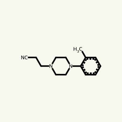 Cc1ccccc1N1CCN(CCC#N)CC1